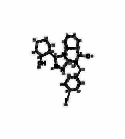 O=c1c2ccccc2n2c(-c3ccccc3O)nnc2n1Cc1ccc(F)cc1